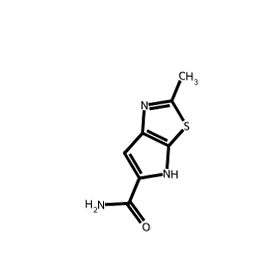 Cc1nc2cc(C(N)=O)[nH]c2s1